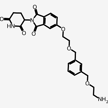 NCCOCc1cccc(COCCOc2ccc3c(c2)C(=O)N(C2CCC(=O)NC2=O)C3=O)c1